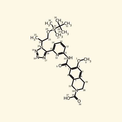 COc1cc2c(cc1C(=O)Nc1cccc(-c3nnnn3C(C)CO[Si](C)(C)C(C)(C)C)n1)CN(C(=O)O)CC2